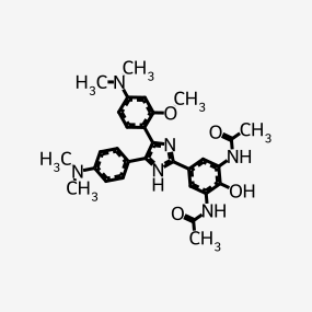 COc1cc(N(C)C)ccc1-c1nc(-c2cc(NC(C)=O)c(O)c(NC(C)=O)c2)[nH]c1-c1ccc(N(C)C)cc1